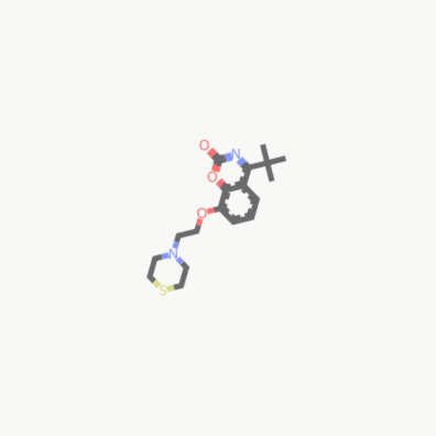 CC(C)(C)c1nc(=O)oc2c(OCCN3CCSCC3)cccc12